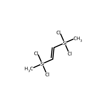 C[Si](Cl)(Cl)C=C[Si](C)(Cl)Cl